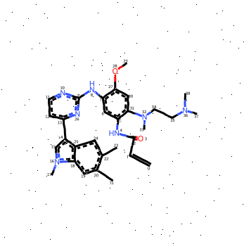 C=CC(=O)Nc1cc(Nc2nccc(-c3cn(C)c4cc(C)c(C)cc34)n2)c(OC)cc1N(C)CCN(C)C